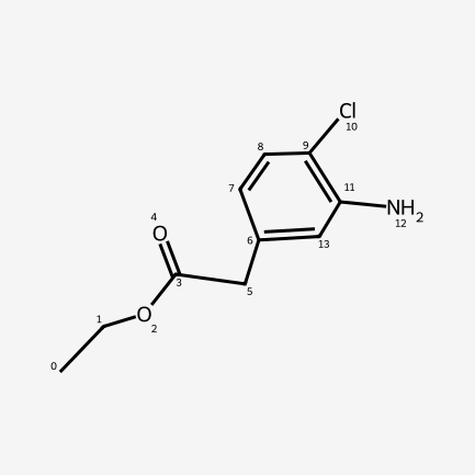 CCOC(=O)Cc1ccc(Cl)c(N)c1